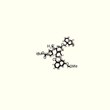 COCOc1cc(N2CCc3c(nc(OC[C@@]45CCCN4C[C@H](F)C5)nc3N(C)[C@@H]3CCN(C(=O)OC(C)(C)C)C3)C2)c2c(Cl)cccc2c1